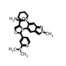 CN(C)c1cc(C2OC=C(C(N)=O)N2c2cc3cn(C)nc3cc2N2CCCCC2)ccn1